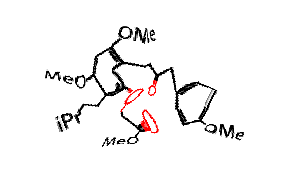 COC(=O)COc1c(CCC(C)C)c(OC)cc(OC)c1CC(=O)Cc1ccc(OC)cc1